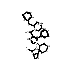 NC(=O)O[C@]1(C2CCC2)CCCC[C@@H]1n1cnc(C(=O)N2CCNCC2Cc2ccccc2)c1-c1ccccc1